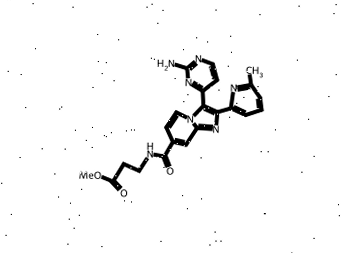 COC(=O)CCNC(=O)c1ccn2c(-c3ccnc(N)n3)c(-c3cccc(C)n3)nc2c1